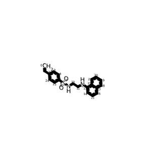 C=Cc1ccc(S(=O)(=O)NCCNc2cccc3ccccc23)cc1